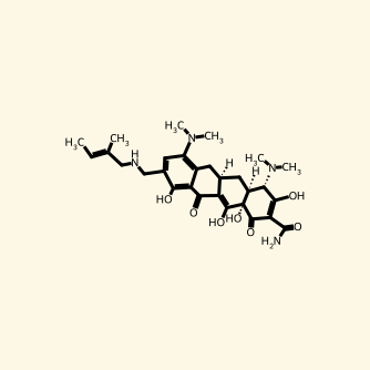 C/C=C(\C)CNCc1cc(N(C)C)c2c(c1O)C(=O)C1=C(O)[C@]3(O)C(=O)C(C(N)=O)=C(O)[C@@H](N(C)C)[C@@H]3C[C@@H]1C2